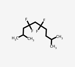 CC(C)CCC(F)(F)CC(F)(F)CC(C)C